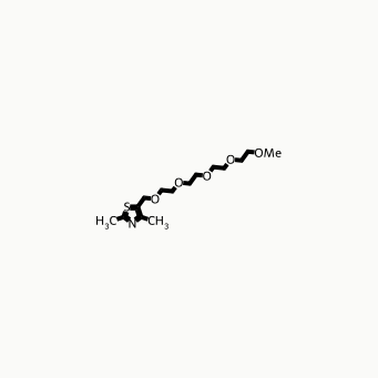 COCCOCCOCCOCCOCc1sc(C)nc1C